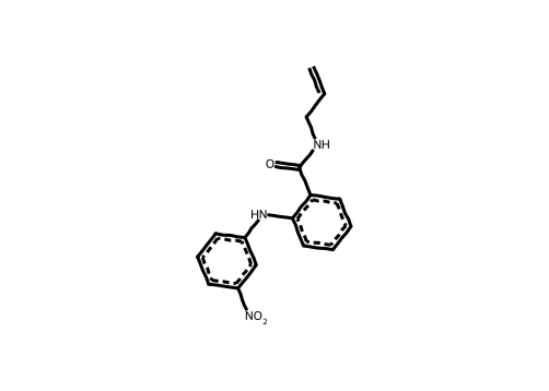 C=CCNC(=O)c1ccccc1Nc1cccc([N+](=O)[O-])c1